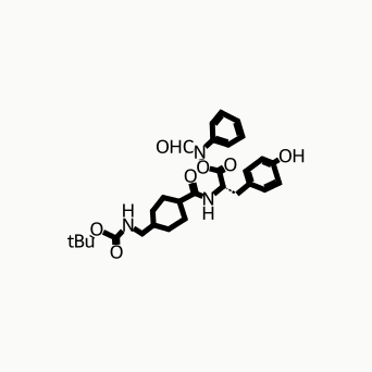 CC(C)(C)OC(=O)NCC1CCC(C(=O)N[C@@H](Cc2ccc(O)cc2)C(=O)ON(C=O)c2ccccc2)CC1